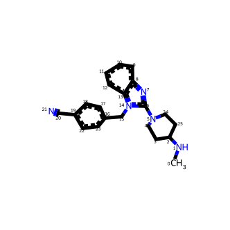 CNC1CCN(c2nc3ccccc3n2Cc2ccc(C#N)cc2)CC1